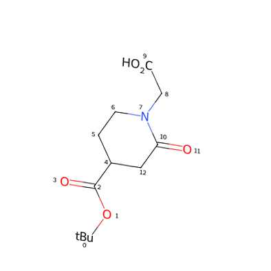 CC(C)(C)OC(=O)C1CCN(CC(=O)O)C(=O)C1